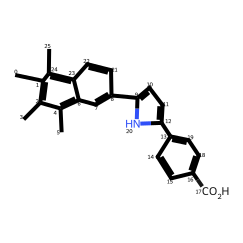 Cc1c(C)c(C)c2cc(-c3ccc(-c4ccc(C(=O)O)cc4)[nH]3)ccc2c1C